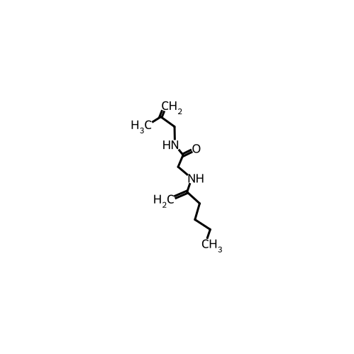 C=C(C)CNC(=O)CNC(=C)CCCC